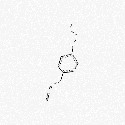 COO[SH4]c1ccc(CN=[N+]=[N-])cc1